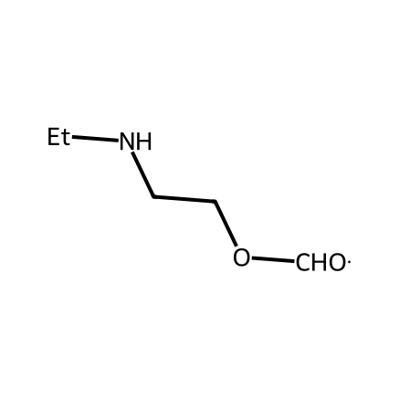 CCNCCO[C]=O